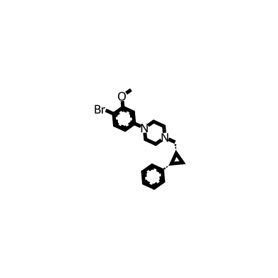 COc1cc(N2CCN(C[C@@H]3C[C@@H]3c3ccccc3)CC2)ccc1Br